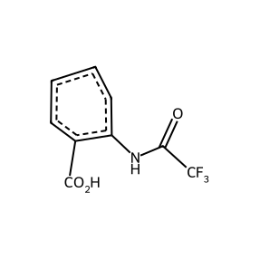 O=C(O)c1ccccc1NC(=O)C(F)(F)F